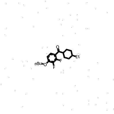 CCCCOc1ccc(C(=O)C2CCC(CC)CC2)c(F)c1F